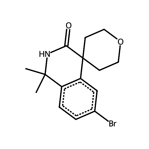 CC1(C)NC(=O)C2(CCOCC2)c2cc(Br)ccc21